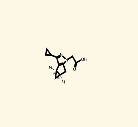 O=C(O)Cn1nc(C2CC2)c2c1C[C@H]1C[C@@H]21